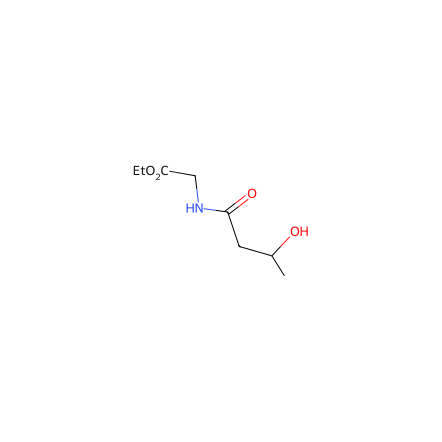 CCOC(=O)CNC(=O)CC(C)O